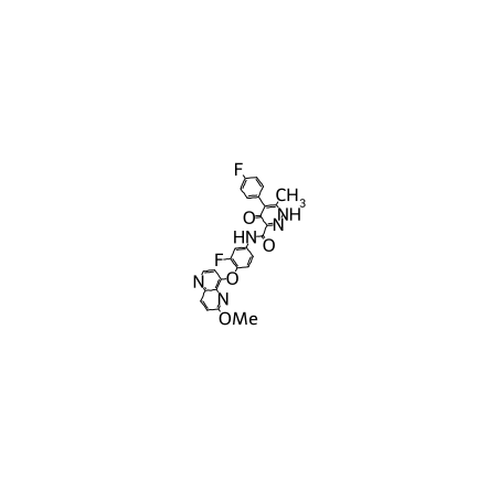 COc1ccc2nccc(Oc3ccc(NC(=O)c4n[nH]c(C)c(-c5ccc(F)cc5)c4=O)cc3F)c2n1